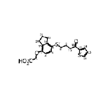 O=C(O)COc1ccc(SCCCC(=O)c2cccs2)c2c1CCC2